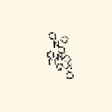 FC(F)(F)c1ccccc1Cn1c2cc(N=C(c3ccccc3)c3ccccc3)ccc2c2ccc(N=C(c3ccccc3)c3ccccc3)cc21